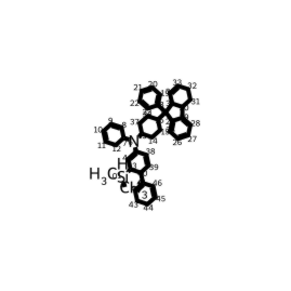 C[SiH](C)C1C=C(N(C2C=CC=CC2)C2CCC(C3(c4ccccc4)c4ccccc4C4CCC=CC43)CC2)C=CC1C1=CCCC=C1